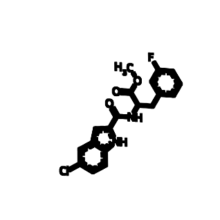 COC(=O)C(Cc1cccc(F)c1)NC(=O)c1cc2cc(Cl)ccc2[nH]1